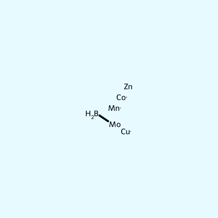 [BH2][Mo].[Co].[Cu].[Mn].[Zn]